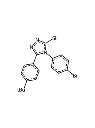 CC(C)(C)c1ccc(-c2nnc(S)n2-c2ccc(Br)cc2)cc1